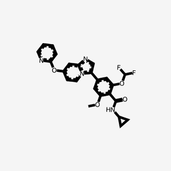 COc1cc(-c2cnc3cc(Oc4ccccn4)ccn23)cc(OC(F)F)c1C(=O)NC1CC1